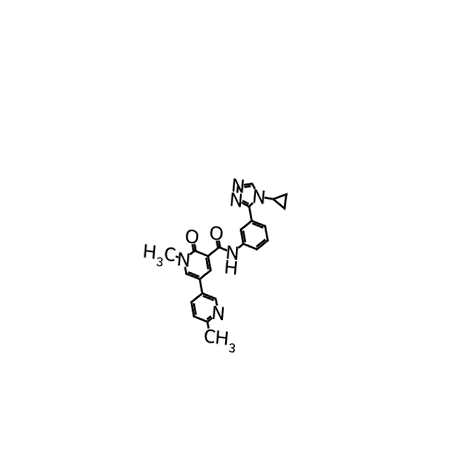 Cc1ccc(-c2cc(C(=O)Nc3cccc(-c4nncn4C4CC4)c3)c(=O)n(C)c2)cn1